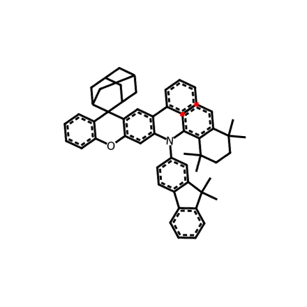 CC1(C)CCC(C)(C)c2c(N(c3ccc4c(c3)C(C)(C)c3ccccc3-4)c3cc4c(cc3-c3ccccc3)C3(c5ccccc5O4)C4CC5CC(C4)CC3C5)cccc21